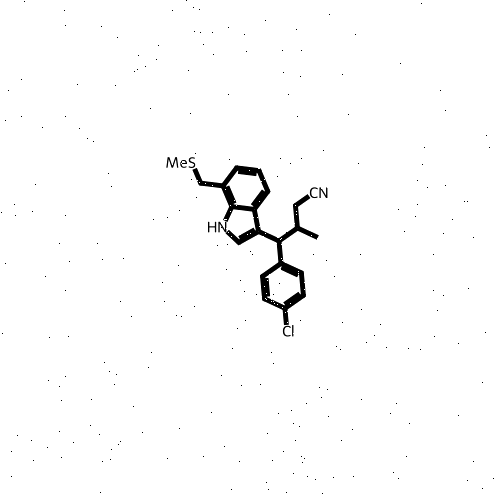 CSCc1cccc2c(C(c3ccc(Cl)cc3)C(C)CC#N)c[nH]c12